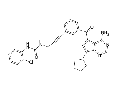 Nc1ncnc2c1c(C(=O)c1cccc(C#CCNC(=O)Nc3ccccc3Cl)c1)cn2C1CCCC1